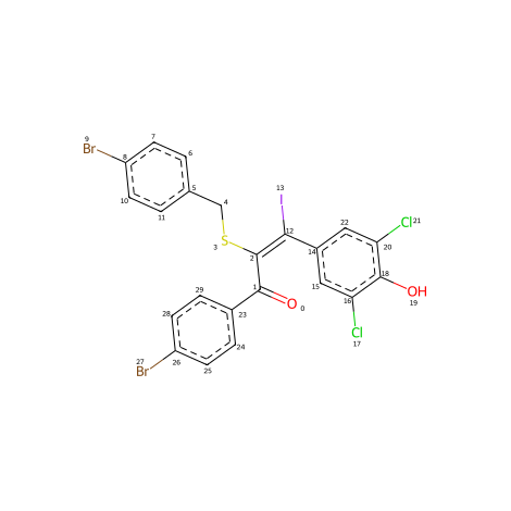 O=C(C(SCc1ccc(Br)cc1)=C(I)c1cc(Cl)c(O)c(Cl)c1)c1ccc(Br)cc1